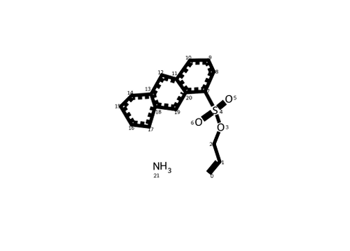 C=CCOS(=O)(=O)c1cccc2cc3ccccc3cc12.N